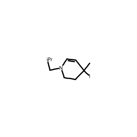 CC(C)CN1C=CC(C)(I)CC1